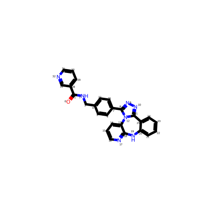 O=C(NCc1ccc(-c2nnc3n2-c2cccnc2Nc2ccccc2-3)cc1)c1cccnc1